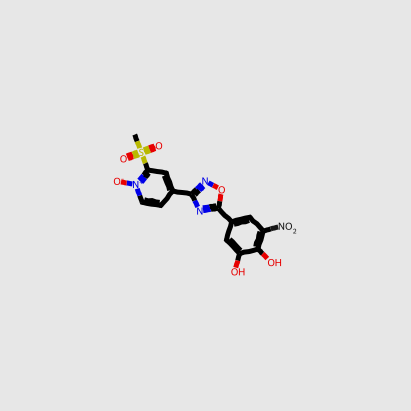 CS(=O)(=O)c1cc(-c2noc(-c3cc(O)c(O)c([N+](=O)[O-])c3)n2)cc[n+]1[O-]